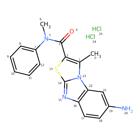 Cc1c(C(=O)N(C)c2ccccc2)sc2nc3ccc(N)cc3n12.Cl.Cl